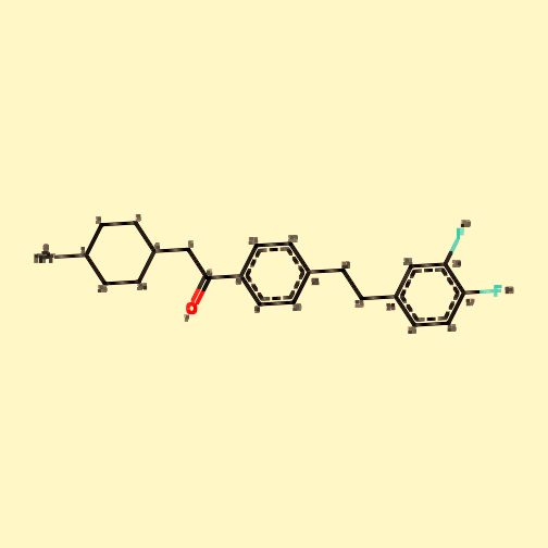 CCCC1CCC(CC(=O)c2ccc(CCc3ccc(F)c(F)c3)cc2)CC1